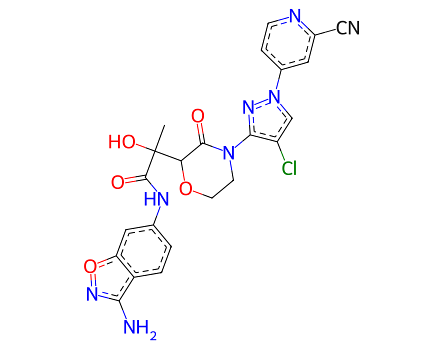 CC(O)(C(=O)Nc1ccc2c(N)noc2c1)C1OCCN(c2nn(-c3ccnc(C#N)c3)cc2Cl)C1=O